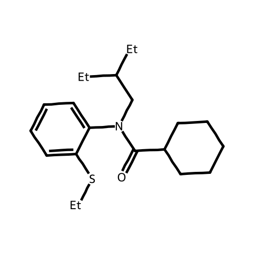 CCSc1ccccc1N(CC(CC)CC)C(=O)C1CCCCC1